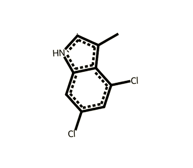 Cc1[c][nH]c2cc(Cl)cc(Cl)c12